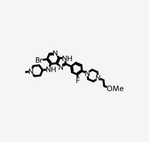 COCCN1CCN(c2ccc(-c3nc4c(NC5CCN(C)CC5)c(Br)cnc4[nH]3)cc2F)CC1